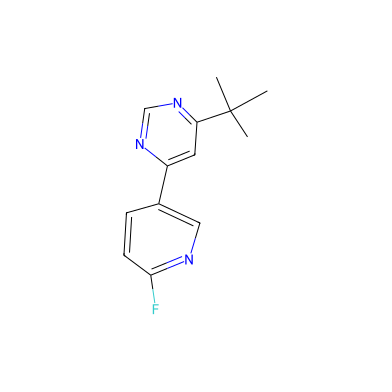 CC(C)(C)c1cc(-c2ccc(F)nc2)ncn1